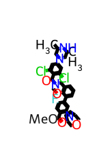 COC(=O)c1cc(F)c(-c2cccc3c2OCN(C(=O)c2c(Cl)cc(N4CC(C)NC(C)C4)cc2Cl)C3)cc1N1C2CCC1COC2